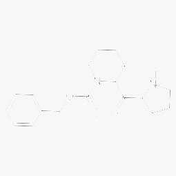 O=C(C1CCCN1)C1CCCCN1C(=O)OCc1ccccc1